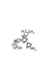 CC(C)Cn1cnc2c(N3CCOCC3)nc(-c3cnc(N)nc3)nc21.O=C(O)OC(=O)O